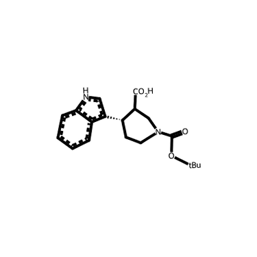 CC(C)(C)OC(=O)N1CC[C@H](c2c[nH]c3ccccc23)C(C(=O)O)C1